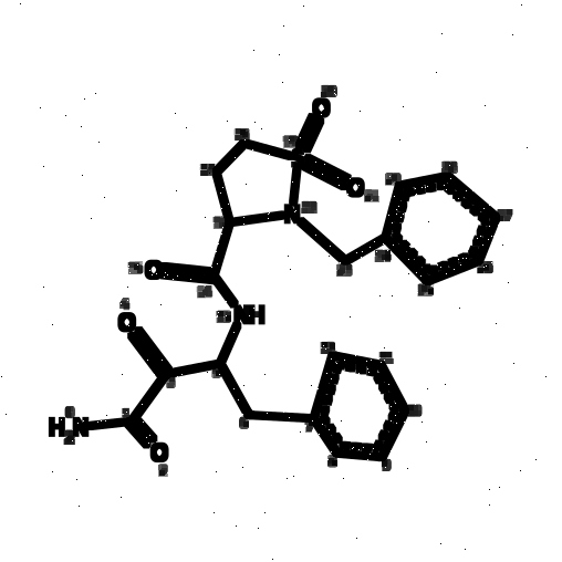 NC(=O)C(=O)C(Cc1ccccc1)NC(=O)C1CCS(=O)(=O)N1Cc1ccccc1